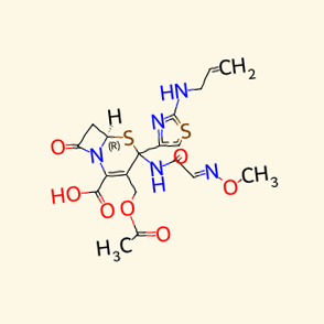 C=CCNc1nc(C2(NC(=O)C=NOC)S[C@@H]3CC(=O)N3C(C(=O)O)=C2COC(C)=O)cs1